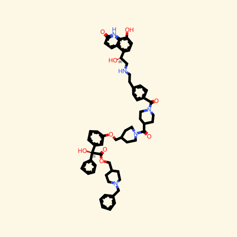 O=C(c1ccc(CCNC[C@H](O)c2ccc(O)c3[nH]c(=O)ccc23)cc1)N1CCC(C(=O)N2CCC(COc3cccc([C@](O)(C(=O)OCC4CCN(Cc5ccccc5)CC4)c4ccccc4)c3)CC2)CC1